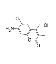 Cc1c(CO)c2cc(Cl)c(N)cc2oc1=O